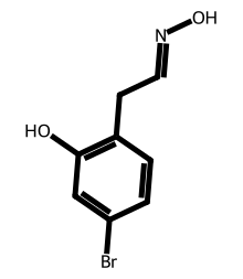 ON=CCc1ccc(Br)cc1O